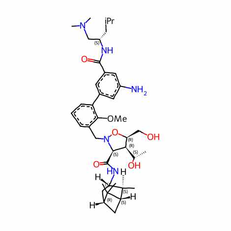 COc1c(CN2O[C@@H](CO)[C@@H]([C@H](C)O)[C@H]2C(=O)N[C@H]2C[C@H]3C[C@@H]([C@@H]2C)C3(C)C)cccc1-c1cc(N)cc(C(=O)N[C@@H](CC(C)C)CN(C)C)c1